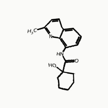 Cc1ccc2cccc(NC(=O)C3(O)[CH]CCCC3)c2n1